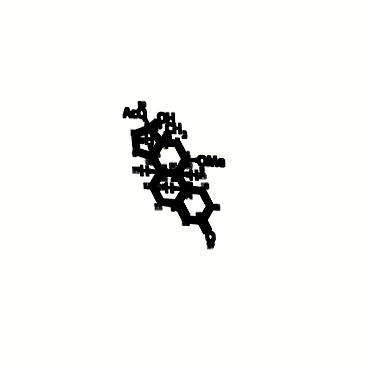 CO[C@H]1C[C@@]2(C)[C@@H](CC[C@]2(O)OC(C)=O)[C@@H]2CCC3=CC(=O)CC[C@@H]3[C@H]21